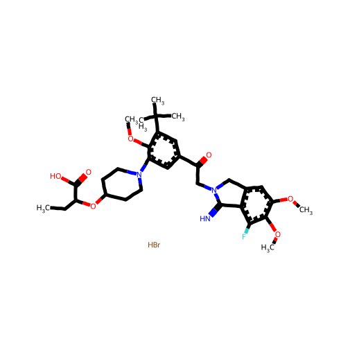 Br.CCC(OC1CCN(c2cc(C(=O)CN3Cc4cc(OC)c(OC)c(F)c4C3=N)cc(C(C)(C)C)c2OC)CC1)C(=O)O